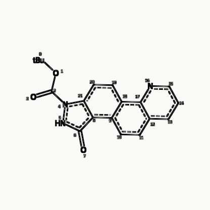 CC(C)(C)OC(=O)n1[nH]c(=O)c2c3ccc4cccnc4c3ccc21